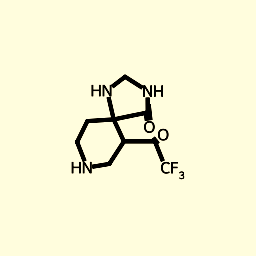 O=C(C1CNCCC12NCNC2=O)C(F)(F)F